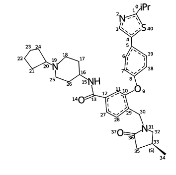 CC(C)c1ncc(-c2ccc(Oc3cc(C(=O)NC4CCN(C5CCCC5)CC4)ccc3CN3C[C@@H](C)CC3=O)cc2)s1